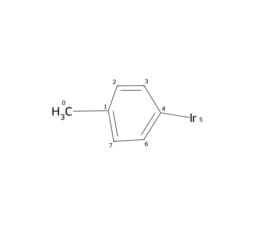 Cc1cc[c]([Ir])cc1